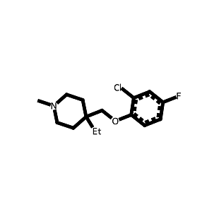 CCC1(COc2ccc(F)cc2Cl)CCN(C)CC1